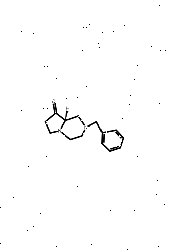 O=C1CCN2CCN(Cc3ccccc3)C[C@@H]12